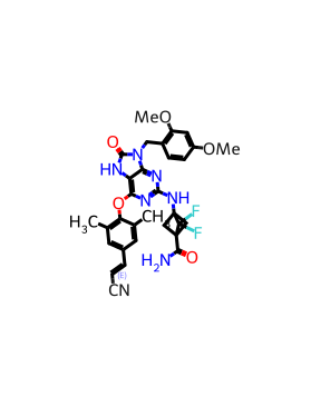 COc1ccc(Cn2c(=O)[nH]c3c(Oc4c(C)cc(/C=C/C#N)cc4C)nc(NC45CC(C(N)=O)(C4)C5(F)F)nc32)c(OC)c1